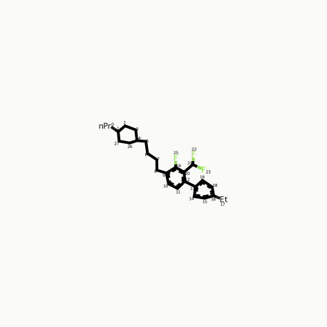 CCCC1CCC(CCCCc2ccc(-c3ccc(CC)cc3)c(C(F)F)c2F)CC1